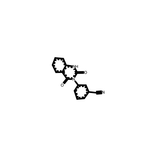 N#Cc1cccc(-n2c(=O)[nH]c3ccccc3c2=O)c1